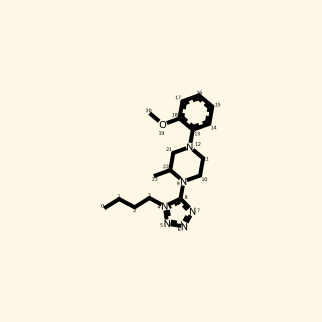 CCCCn1nnnc1N1CCN(c2ccccc2OC)CC1C